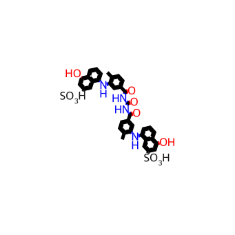 Cc1ccc(C(=O)NC(=O)NC(=O)c2ccc(C)c(Nc3cccc4c(O)cc(S(=O)(=O)O)cc34)c2)cc1Nc1cccc2c(O)cc(S(=O)(=O)O)cc12